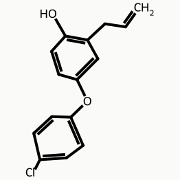 C=CCc1cc(Oc2ccc(Cl)cc2)ccc1O